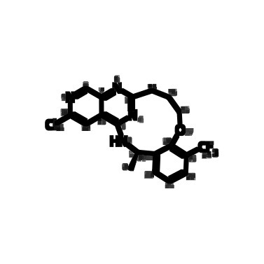 C[C@H]1Nc2nc(nc3cnc(Cl)cc23)CCCOc2c1cccc2C(F)(F)F